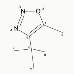 Cc1onnc1C(C)(C)C